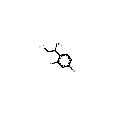 CC[C@@H](C)c1ccc(Br)cc1F